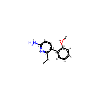 CCc1nc(N)ccc1-c1ccccc1OC